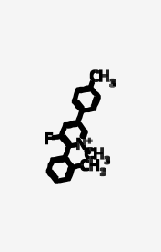 Cc1ccc(-c2cc(F)c(-c3ccccc3C)[n+](C)c2)cc1